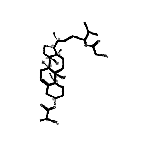 CC(C)C(CC[C@@H](C)[C@H]1CC[C@H]2[C@@H]3CC=C4C[C@@H](OC(=O)[C@H](C)N)CC[C@]4(C)[C@H]3CC[C@]12C)OC(=O)CN